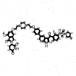 COc1cc(OCCN2CCN(CCOc3ccc(-c4cnc5[nH]cc(C(=O)c6c(F)ccc(NS(=O)(=O)N7CC[C@@H](F)C7)c6F)c5c4)cc3)CC2)cc2c1C(=O)N([C@H]1CCC(=O)NC1=O)C2